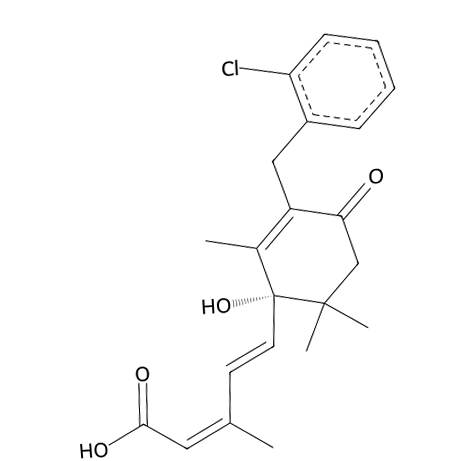 CC1=C(Cc2ccccc2Cl)C(=O)CC(C)(C)[C@@]1(O)/C=C/C(C)=C\C(=O)O